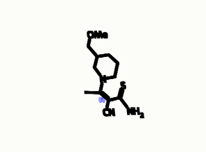 COCC1CCCN(/C(C)=C(/C#N)C(N)=S)C1